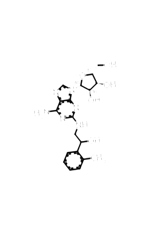 Cc1ccccc1C(O)CNc1nc(N)c2ncn([C@@H]3O[C@H](CO)[C@@H](O)[C@H]3O)c2n1